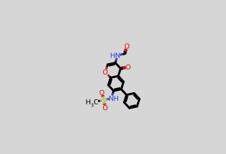 CS(=O)(=O)Nc1cc2occ(NC=O)c(=O)c2cc1-c1ccccc1